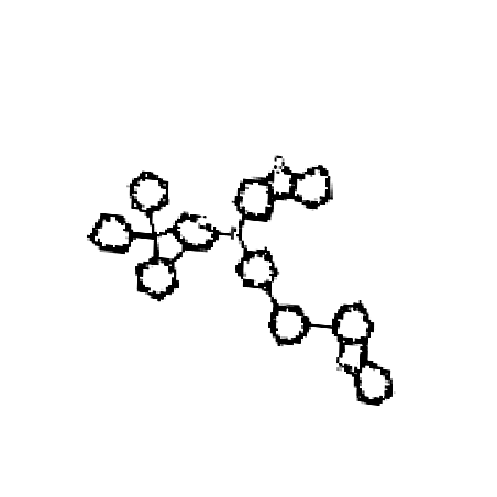 c1ccc(C2(c3ccccc3)c3ccccc3-c3cc(N(c4ccc(-c5cccc(-c6cccc7c6sc6ccccc67)c5)cc4)c4ccc5oc6ccccc6c5c4)ccc32)cc1